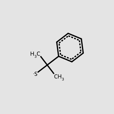 CC(C)([S])c1ccccc1